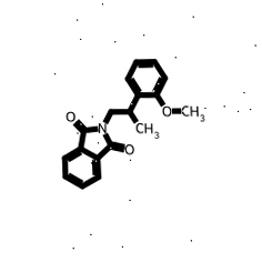 COc1ccccc1C(C)CN1C(=O)c2ccccc2C1=O